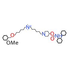 COc1ccccc1COCCCCCC[N+](C)(C)CCCCCCN1CCC(OC(=O)Nc2ccccc2-c2ccccc2)CC1